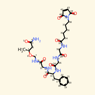 C[C@@H](CC(N)=O)OCNC(=O)CNC(=O)[C@H](Cc1ccccc1)NC(=O)CNC(=O)CNC(=O)CCCCCN1C(=O)C=CC1=O